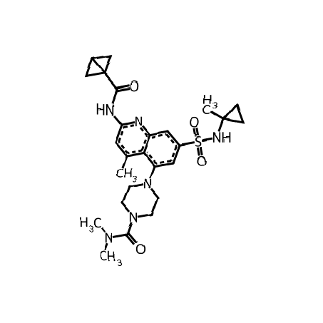 Cc1cc(NC(=O)C23CC2C3)nc2cc(S(=O)(=O)NC3(C)CC3)cc(N3CCN(C(=O)N(C)C)CC3)c12